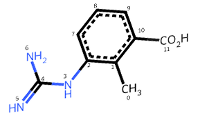 Cc1c(NC(=N)N)cccc1C(=O)O